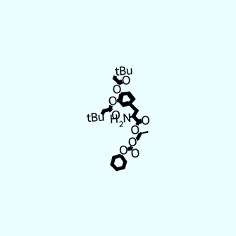 C[C@@H](COC(=O)OC1CCCCC1)OC(=O)[C@@H](N)Cc1ccc(OC(=O)CC(C)(C)C)c(OC(=O)CC(C)(C)C)c1